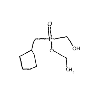 CCOP(=O)(CO)CC1CCC1